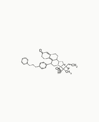 C=CC(F)(F)C(C)(F)[C@]1(O)CCC2C3CCC4=CC(=O)CCC4=C3C(c3ccc(CCCc4ccccc4)cc3)C[C@@]21C